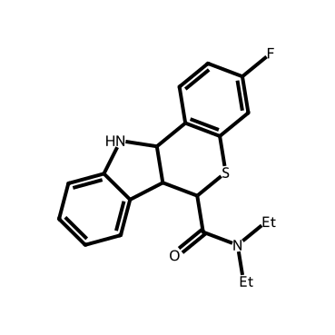 CCN(CC)C(=O)C1Sc2cc(F)ccc2C2Nc3ccccc3C12